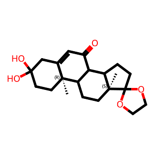 C[C@]12CCC(O)(O)CC1=CC(=O)C1C2CC[C@@]2(C)C1CCC21OCCO1